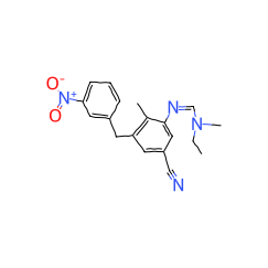 CCN(C)/C=N\c1cc(C#N)cc(Cc2cccc([N+](=O)[O-])c2)c1C